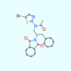 CC(=O)N(CC(Cc1ccccc1)N1C(=O)c2ccccc2C1=O)c1ncc(Br)s1